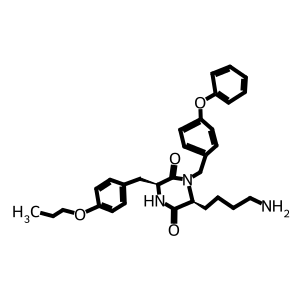 CCCOc1ccc(C[C@@H]2NC(=O)[C@H](CCCCN)N(Cc3ccc(Oc4ccccc4)cc3)C2=O)cc1